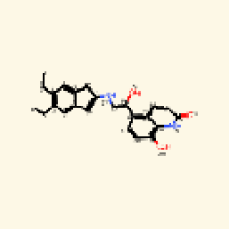 CCc1cc2c(cc1CC)CC(NCC(O)c1ccc(O)c3[nH]c(=O)ccc13)=C2